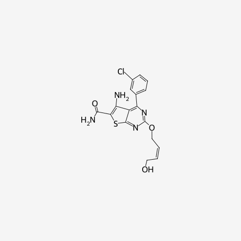 NC(=O)c1sc2nc(OC/C=C\CO)nc(-c3cccc(Cl)c3)c2c1N